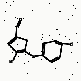 O=Cc1cc(Br)c(Sc2ccc(Cl)cc2)s1